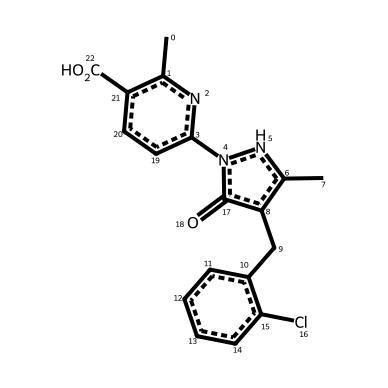 Cc1nc(-n2[nH]c(C)c(Cc3ccccc3Cl)c2=O)ccc1C(=O)O